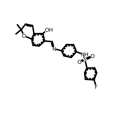 CC1(C)C=Cc2c(ccc(/C=N/c3ccc(NS(=O)(=O)c4ccc(F)cc4)cc3)c2O)O1